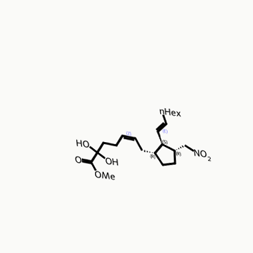 CCCCCC/C=C/[C@@H]1[C@@H](C/C=C\CCC(O)(O)C(=O)OC)CC[C@H]1C[N+](=O)[O-]